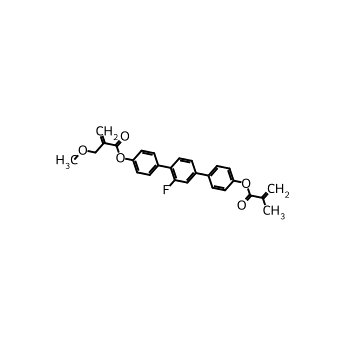 C=C(C)C(=O)Oc1ccc(-c2ccc(-c3ccc(OC(=O)C(=C)COC)cc3)c(F)c2)cc1